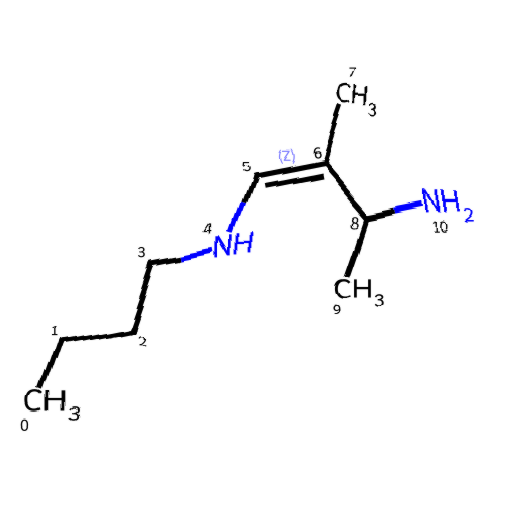 CCCCN/C=C(/C)C(C)N